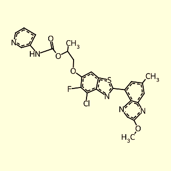 COc1cnc2c(-c3nc4c(Cl)c(F)c(OCC(C)OC(=O)Nc5cccnc5)cc4s3)cc(C)cc2n1